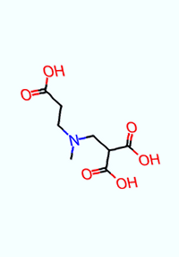 CN(CCC(=O)O)CC(C(=O)O)C(=O)O